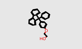 OCCOc1ccc(C2(c3ccccc3)c3ccccc3-c3ccccc32)cc1